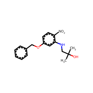 CC(C)(O)CNc1cc(OCc2ccccc2)ccc1[N+](=O)[O-]